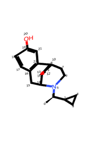 C[C@H](C1CC1)N1CCC23CCCCC2C1Cc1ccc(O)cc13